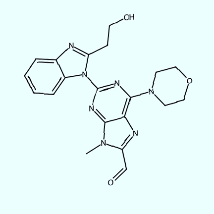 Cn1c(C=O)nc2c(N3CCOCC3)nc(-n3c(CCO)nc4ccccc43)nc21